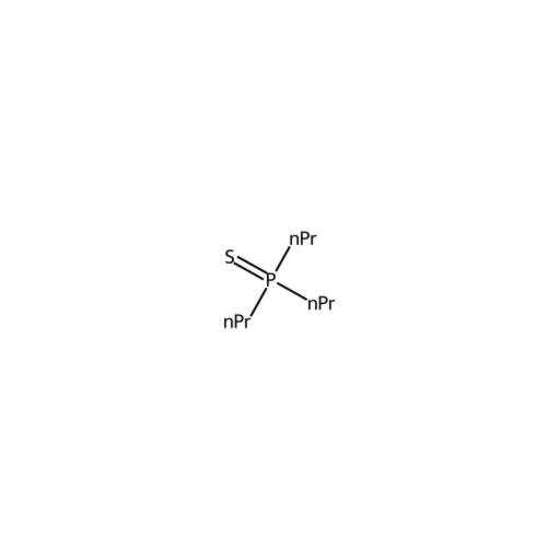 CCCP(=S)(CCC)CCC